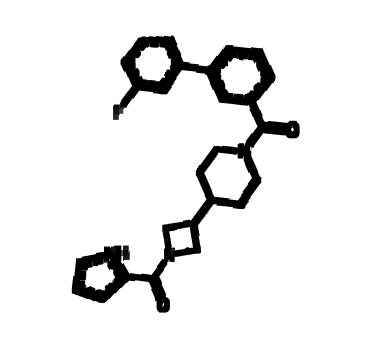 O=C(c1cccc(-c2cccc(F)c2)c1)N1CCC(C2CN(C(=O)c3ccc[nH]3)C2)CC1